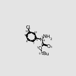 CC(C)(C)OC(=O)N(N)c1cccc(Cl)c1